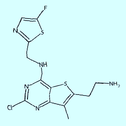 Cc1c(CCN)sc2c(NCc3ncc(F)s3)nc(Cl)nc12